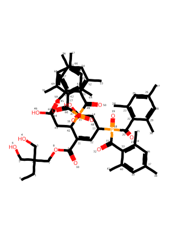 CCC(CO)(CO)COC(=O)C(=CC(CC(=O)O)P(=O)(C(=O)c1c(C)cc(C)cc1C)C(=O)c1c(C)cc(C)cc1C)C(CC(=O)O)P(=O)(C(=O)c1c(C)cc(C)cc1C)C(=O)c1c(C)cc(C)cc1C